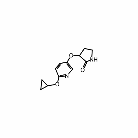 O=C1NCCC1Oc1ccc(OC2CC2)nc1